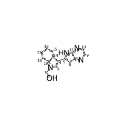 OCn1cc(-c2cc3nccnc3[nH]2)c2ccccc21